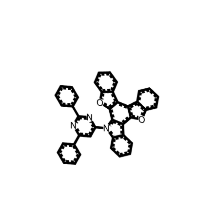 c1ccc(-c2cc(-n3c4ccccc4c4c5oc6ccccc6c5c5c6ccccc6oc5c43)nc(-c3ccccc3)n2)cc1